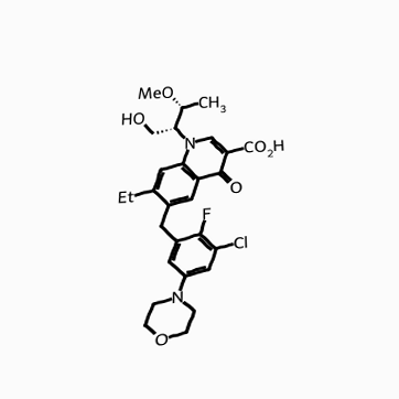 CCc1cc2c(cc1Cc1cc(N3CCOCC3)cc(Cl)c1F)c(=O)c(C(=O)O)cn2[C@H](CO)[C@@H](C)OC